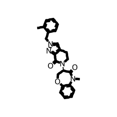 Cc1ccccc1Cn1cc2c(n1)C(=O)N([C@H]1COc3ccccc3N(C)C1=O)CC2